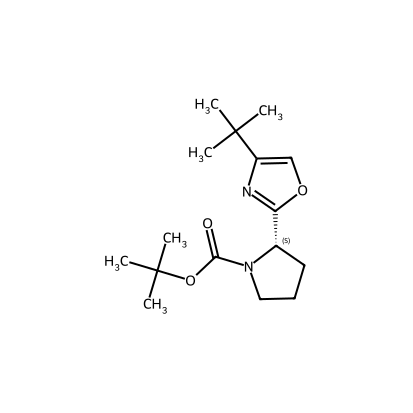 CC(C)(C)OC(=O)N1CCC[C@H]1c1nc(C(C)(C)C)co1